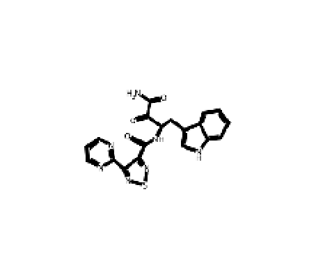 NC(=O)C(=O)C(Cc1c[nH]c2ccccc12)NC(=O)c1nsnc1-c1ncccn1